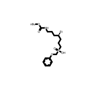 CCCCOC(=O)NCCC[C@@H](CC)CCCP(=O)(O)COc1ccccc1